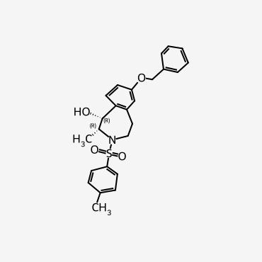 Cc1ccc(S(=O)(=O)N2CCc3cc(OCc4ccccc4)ccc3[C@@H](O)[C@H]2C)cc1